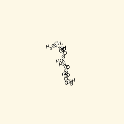 CN(C)CCCNS(=O)(=O)c1cccc(OCC(O)CNC2COC3(CCN(S(=O)(=O)c4ccc5c(c4)NC(=O)CO5)CC3)C2)c1